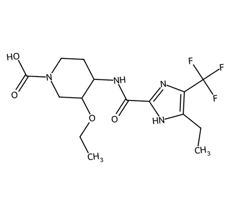 CCOC1CN(C(=O)O)CCC1NC(=O)c1nc(C(F)(F)F)c(CC)[nH]1